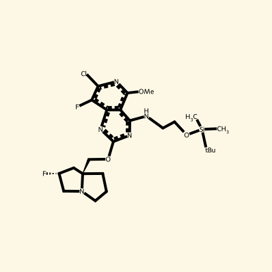 COc1nc(Cl)c(F)c2nc(OC[C@@]34CCCN3C[C@H](F)C4)nc(NCCO[Si](C)(C)C(C)(C)C)c12